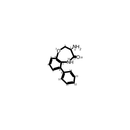 N[C@H]1COc2cccc(-c3ccccc3)c2NC1=O